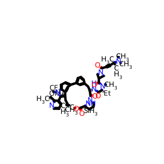 CC[C@H](C(=O)N[C@H]1Cc2cccc(c2)-c2ccc3c(c2)c(c(-c2cccnc2[C@H](C)OC)n3CC(F)(F)F)CC(C)(C)COC(=O)[C@@]2([SiH3])CCCN(N2)C1=O)N(C)C(=O)C1CN(C(=O)C#CC(C)(C)N(C)C)C1